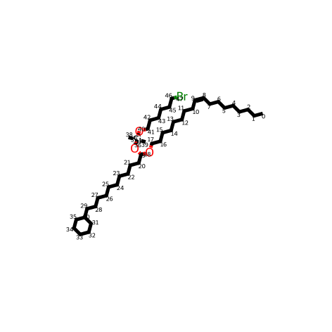 CCCCCCCC/C=C\CCCCCCCCOC(CCCCCCCCCCC1CCCCC1)O[Si](C)(C)OCCCCCCBr